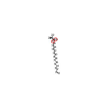 C=CCCCCCCCCCCCCCCCOC(=O)C(=C)C